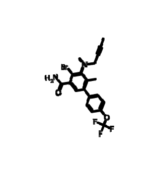 CC#CCN(C)c1c(C)c(-c2ccc(OC(F)(F)F)cc2)cc(C(N)=O)c1Br